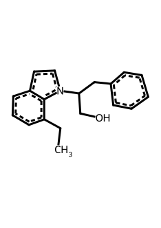 CCc1cccc2ccn(C(CO)Cc3ccccc3)c12